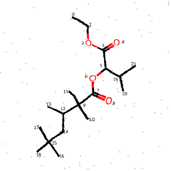 CCOC(=O)C(OC(=O)C(C)(C)C(C)CC(C)(C)C)C(C)C